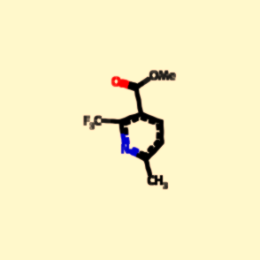 COC(=O)c1ccc(C)nc1C(F)(F)F